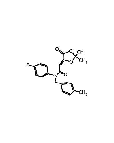 Cc1ccc(CN(C(=O)/C=C2\OC(C)(C)OC2=O)c2ccc(F)cc2)cc1